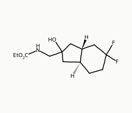 CCOC(=O)NCC1(O)C[C@@H]2CCC(F)(F)C[C@H]2C1